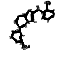 N#Cc1ccccc1Nc1nc2ccc(-c3cccc(C(=O)O)c3)cn2n1